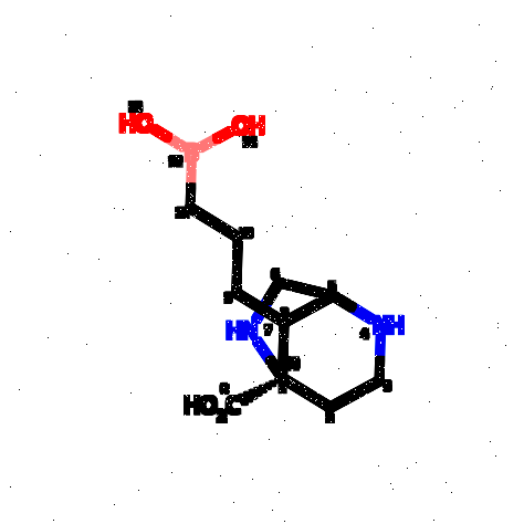 O=C(O)[C@]12CCNC(CN1)C2CCCB(O)O